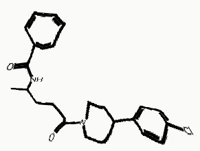 CC(CCC(=O)N1CCC(c2ccc(Cl)cc2)CC1)NC(=O)c1ccccc1